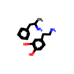 CC(N)Cc1ccccc1.NCCc1ccc(O)c(O)c1